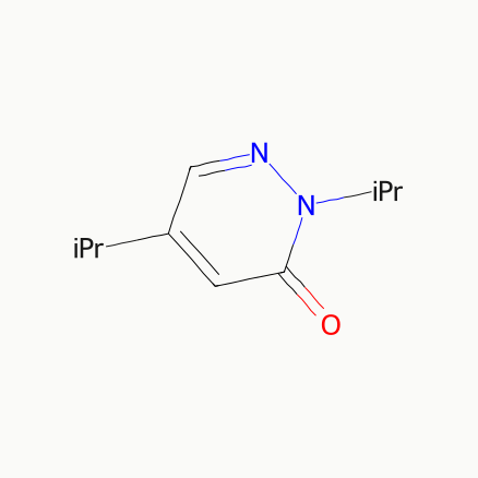 CC(C)c1cnn(C(C)C)c(=O)c1